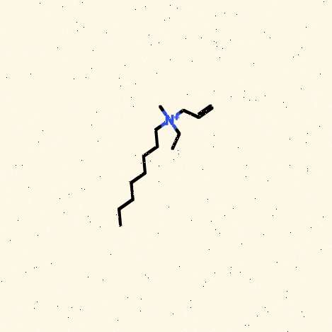 C=CC[N+](C)(CC)CCCCCCCC